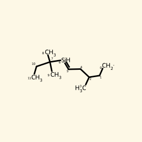 [CH2]CC(C)CC=[SiH]C(C)(C)CC